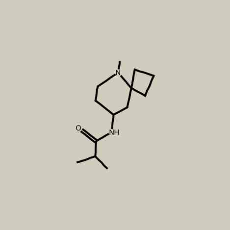 CC(C)C(=O)NC1CCN(C)C2(CCC2)C1